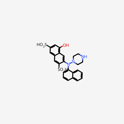 O=S(=O)(O)c1cc(O)c2cc(N(c3cccc4ccccc34)N3CCNCC3)c(S(=O)(=O)O)cc2c1